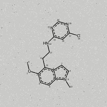 COc1ccc2c(ccn2C)c1CCNc1cc(Cl)ncn1